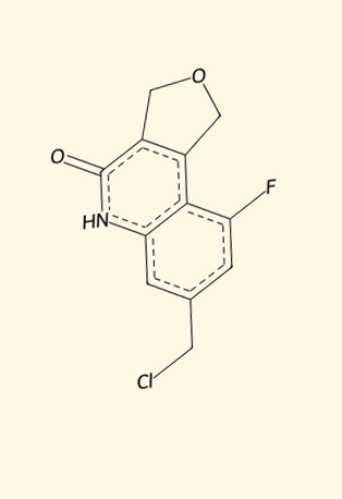 O=c1[nH]c2cc(CCl)cc(F)c2c2c1COC2